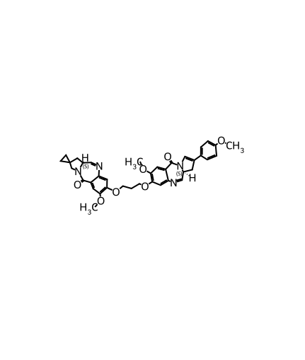 COc1ccc(C2=CN3C(=O)c4cc(OC)c(OCCCOc5cc6c(cc5OC)C(=O)N5CC7(CC7)C[C@H]5C=N6)cc4N=C[C@@H]3C2)cc1